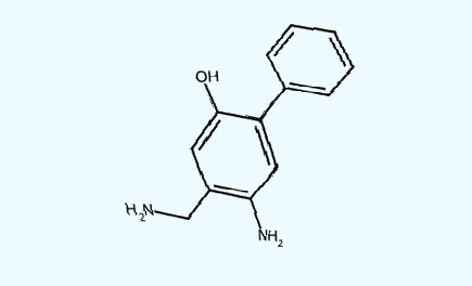 NCc1cc(O)c(-c2ccccc2)cc1N